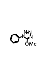 COc1nnnn1-c1ccccc1